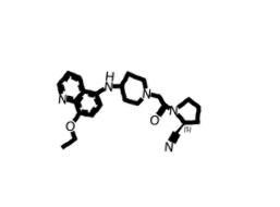 CCOc1ccc(NC2CCN(CC(=O)N3CCC[C@H]3C#N)CC2)c2cccnc12